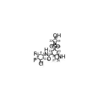 O=C(Nc1cc(F)c(F)c(Cl)c1)c1cc(S(=O)(=O)N2CC(O)C2)cc2[nH]ccc12